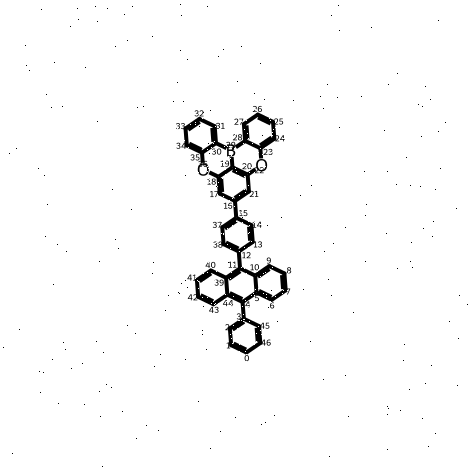 c1ccc(-c2c3ccccc3c(-c3ccc(-c4cc5c6c(c4)Oc4ccccc4B6c4ccccc4O5)cc3)c3ccccc23)cc1